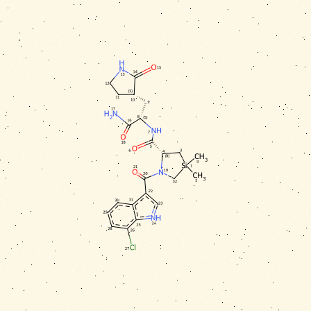 C[Si]1(C)C[C@@H](C(=O)N[C@@H](C[C@@H]2CCNC2=O)C(N)=O)N(C(=O)c2c[nH]c3c(Cl)cccc23)C1